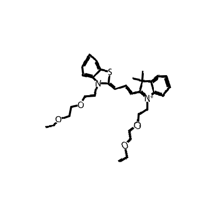 CCOCCOCCN1/C(=C/C=C/C2=[N+](CCOCCOCC)c3ccccc3C2(C)C)Sc2ccccc21